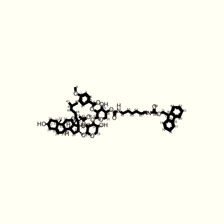 COc1ccc(C(=O)OC2C(OC3C(O)COC(O[C@H]4C[C@H]5[C@@H]6CC=C7C[C@@H](O)CC[C@]7(C)C6CC[C@]5(C)[C@@]4(O)[C@H](C)C(=O)CCC(C)C)C3OC(C)=O)OCC(OC(=O)NCCCCCCNC(=O)OCC3c4ccccc4-c4ccccc43)C2O)cc1